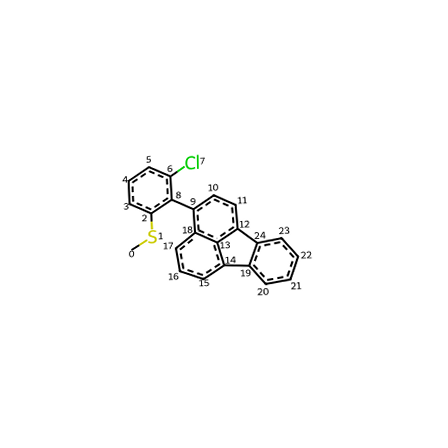 CSc1cccc(Cl)c1-c1ccc2c3c(cccc13)-c1ccccc1-2